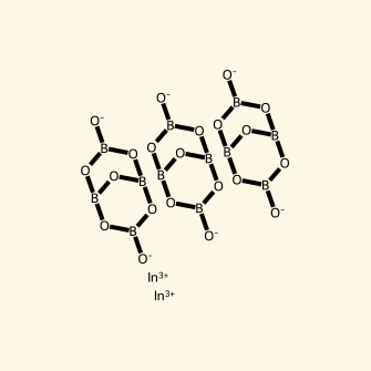 [In+3].[In+3].[O-]B1OB2OB([O-])OB(O1)O2.[O-]B1OB2OB([O-])OB(O1)O2.[O-]B1OB2OB([O-])OB(O1)O2